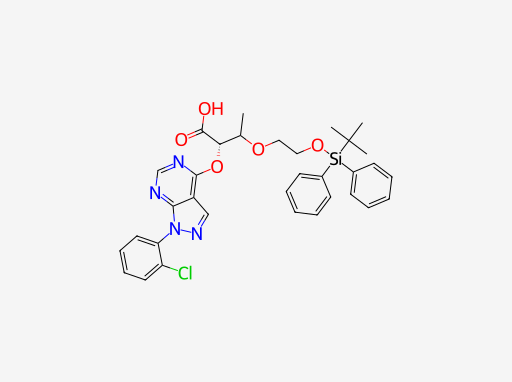 CC(OCCO[Si](c1ccccc1)(c1ccccc1)C(C)(C)C)[C@H](Oc1ncnc2c1cnn2-c1ccccc1Cl)C(=O)O